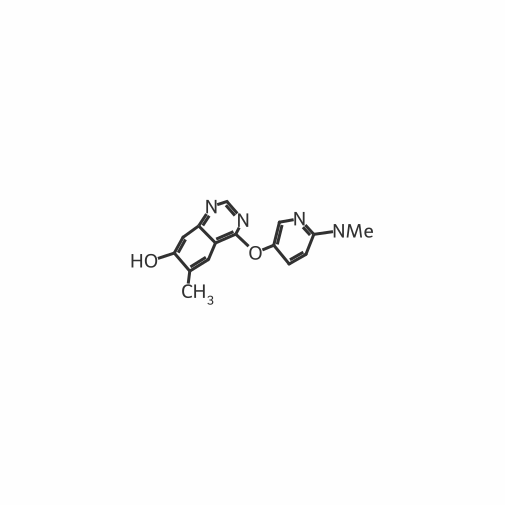 CNc1ccc(Oc2ncnc3cc(O)c(C)cc23)cn1